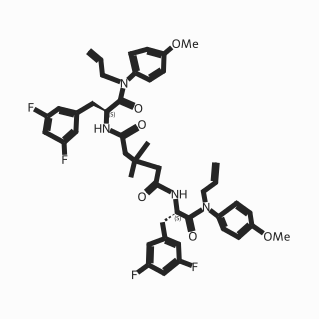 C=CCN(C(=O)[C@H](Cc1cc(F)cc(F)c1)NC(=O)CC(C)(C)CC(=O)N[C@@H](Cc1cc(F)cc(F)c1)C(=O)N(CC=C)c1ccc(OC)cc1)c1ccc(OC)cc1